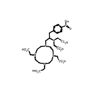 O=C(O)CN1CCN(CC(=O)O)CCN(CC(Cc2ccc([N+](=O)O)cc2)N(CC(=O)O)CC(=O)O)CCN(CC(=O)O)CC1